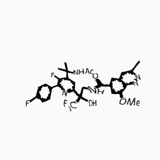 COc1cc(C(=O)NCC(O)(c2cc(C(C)(C)NC(C)=O)c(F)c(-c3ccc(F)cc3)n2)C(F)(F)F)cc2cc(C)nnc12